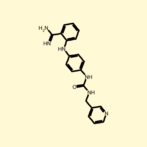 N=C(N)c1ccccc1Nc1ccc(NC(=O)NCc2cccnc2)cc1